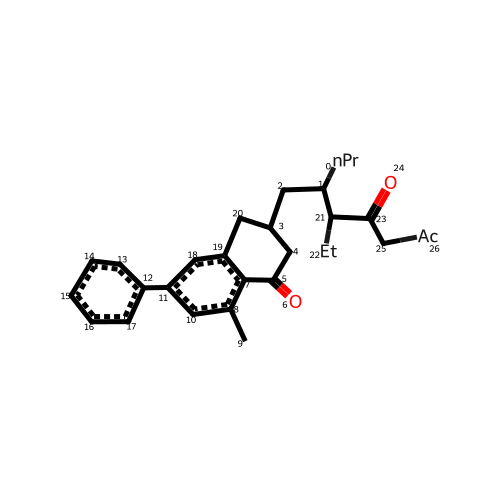 CCCC(CC1CC(=O)c2c(C)cc(-c3ccccc3)cc2C1)C(CC)C(=O)CC(C)=O